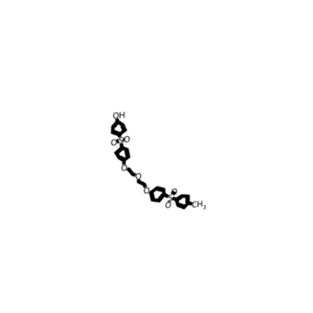 Cc1ccc(S(=O)(=O)c2ccc(OCCOCCOc3ccc(S(=O)(=O)c4ccc(O)cc4)cc3)cc2)cc1